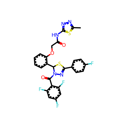 Cc1nnc(NC(=O)COc2ccccc2C2SC(c3ccc(F)cc3)=NN2C(=O)c2c(F)cc(F)cc2F)s1